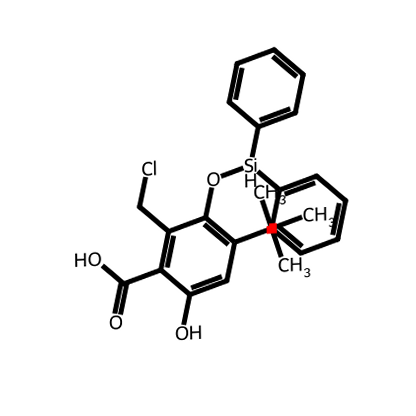 CC(C)(C)c1cc(O)c(C(=O)O)c(CCl)c1O[SiH](c1ccccc1)c1ccccc1